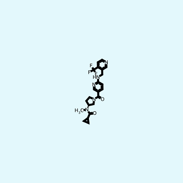 CN(C(=O)C1CC1)[C@H]1CCN(C(=O)c2ccc(NCc3cnccc3C(F)(F)F)nc2)C1